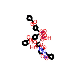 O=C(Oc1ccc(COP(=O)(OCc2ccc(OC(=O)c3ccccc3)cc2)OP(=O)(O)OC[C@H]2O[C@@H](n3ccc(=O)n(Cc4noc5ccccc45)c3=O)C(O)[C@H]2O)cc1)c1ccccc1